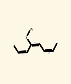 C\C=C/C=C(\C=C/C)SC(C)C